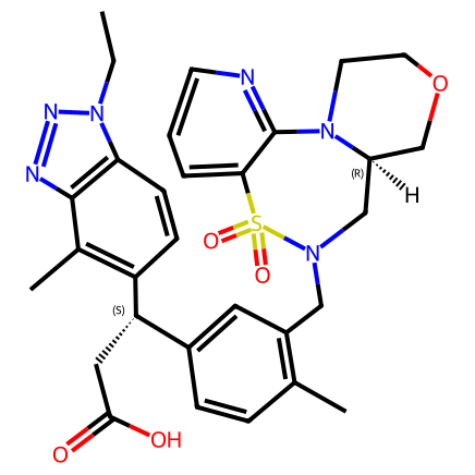 CCn1nnc2c(C)c([C@@H](CC(=O)O)c3ccc(C)c(CN4C[C@@H]5COCCN5c5ncccc5S4(=O)=O)c3)ccc21